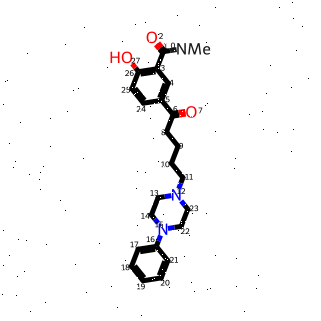 CNC(=O)c1cc(C(=O)CCCCN2CCN(c3ccccc3)CC2)ccc1O